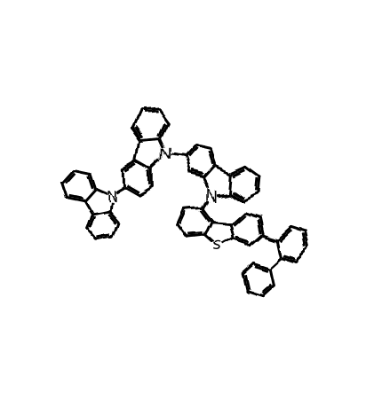 c1ccc(-c2ccccc2-c2ccc3c(c2)sc2cccc(-n4c5ccccc5c5ccc(-n6c7ccccc7c7cc(-n8c9ccccc9c9ccccc98)ccc76)cc54)c23)cc1